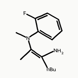 CCCCC(N)=C(C)N(C)c1ccccc1F